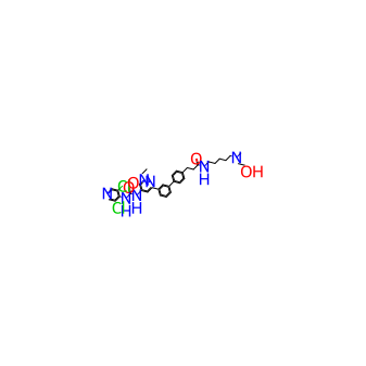 CCn1nc(-c2cccc(-c3ccc(CCC(=O)NCCCCCN(C)CCO)cc3)c2)cc(NC(=O)Nc2c(Cl)cncc2Cl)c1=O